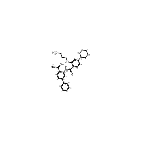 CCCCOc1cc(N2CCCCC2)ccc1C(=O)Nc1cc(-c2ccccc2)ccc1C(=O)O